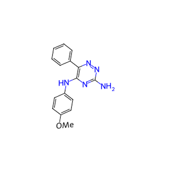 COc1ccc(Nc2nc(N)nnc2-c2ccccc2)cc1